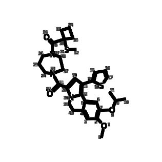 COc1cc2c(cc1OC(C)C)-c1c(-c3cccs3)cc(C(=O)N3CCCN(C(=O)C4(SC)CCC4)CC3)n1CC2